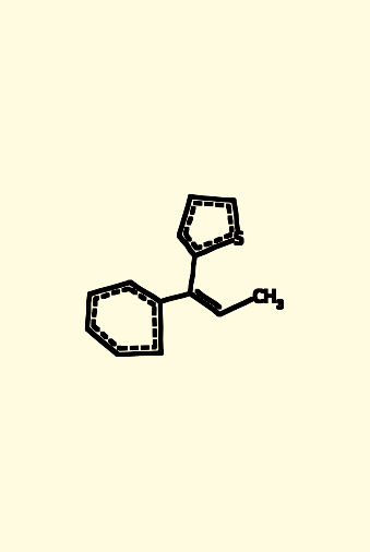 CC=C(c1ccccc1)c1cccs1